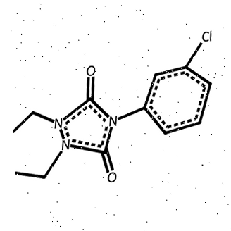 O=c1n(-c2cccc(Cl)c2)c(=O)n2n1CCCC2